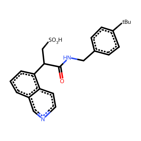 CC(C)(C)c1ccc(CNC(=O)C(CS(=O)(=O)O)c2cccc3cnccc23)cc1